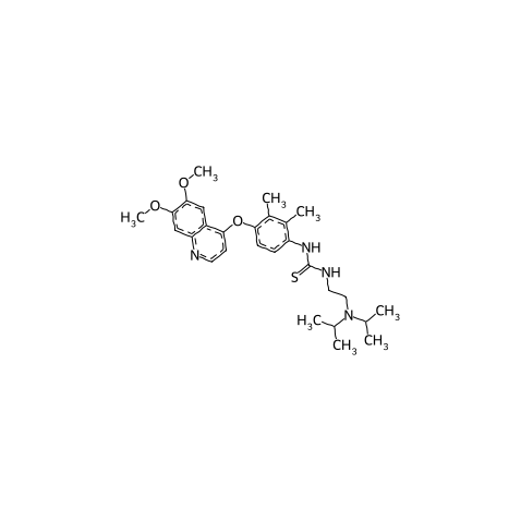 COc1cc2nccc(Oc3ccc(NC(=S)NCCN(C(C)C)C(C)C)c(C)c3C)c2cc1OC